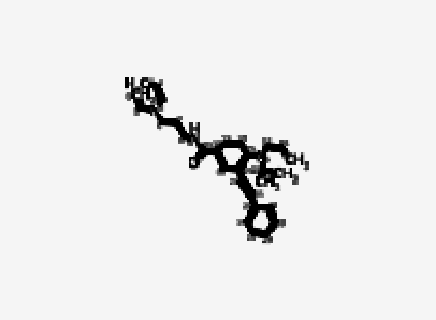 C=CN(/C=C\C)CCCNC(=O)c1ccc(N(/C=C\C)C(=C)C)c(C#Cc2ccccc2)c1